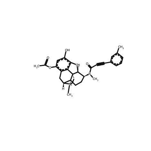 CC(=O)Oc1cc(O)c2c3c1C[C@@H]1[C@@H]4CC[C@H](N(C)C(=O)C#Cc5cccc(C)c5)[C@H](O2)[C@]34CCN1C